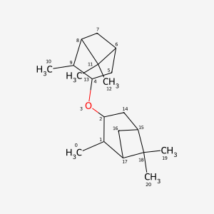 CC1C(OC2CC3CC(C2C)C3(C)C)CC2CC1C2(C)C